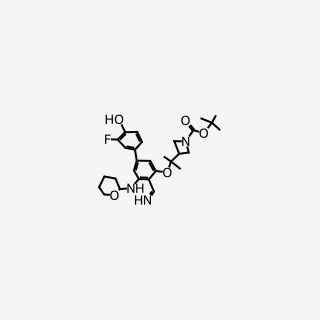 CC(C)(C)OC(=O)N1CC(C(C)(C)Oc2cc(-c3ccc(O)c(F)c3)cc(NC3CCCCO3)c2C=N)C1